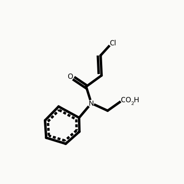 O=C(O)CN(C(=O)/C=C/Cl)c1ccccc1